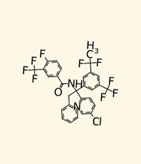 CC(F)(F)c1cc(C(F)(F)F)cc(C(Cc2ccccc2)(NC(=O)c2ccc(F)c(C(F)(F)F)c2)c2ccc(Cl)cn2)c1